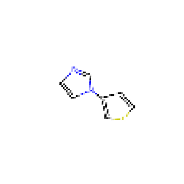 [c]1sccc1-n1ccnc1